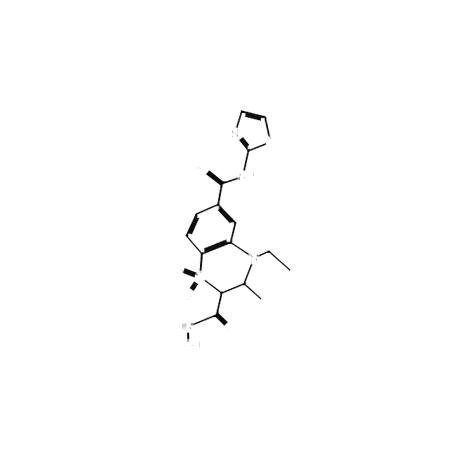 CCN1c2cc(C(=O)Nc3nccs3)ccc2S(=O)(=O)C(C(=O)NO)C1C